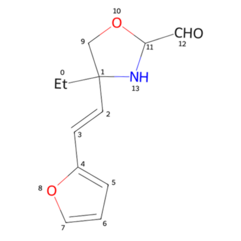 CCC1(C=Cc2ccco2)COC(C=O)N1